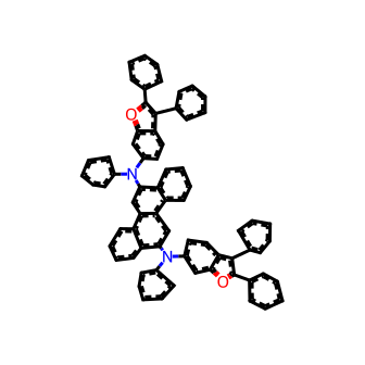 c1ccc(-c2oc3cc(N(c4ccccc4)c4cc5c6ccccc6c(N(c6ccccc6)c6ccc7c(-c8ccccc8)c(-c8ccccc8)oc7c6)cc5c5ccccc45)ccc3c2-c2ccccc2)cc1